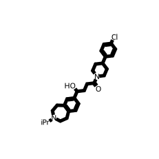 CC(C)N1CCc2ccc(C(O)CCC(=O)N3CCC(c4ccc(Cl)cc4)CC3)cc2CC1